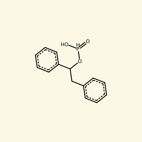 O=[PH](O)OC(Cc1ccccc1)c1ccccc1